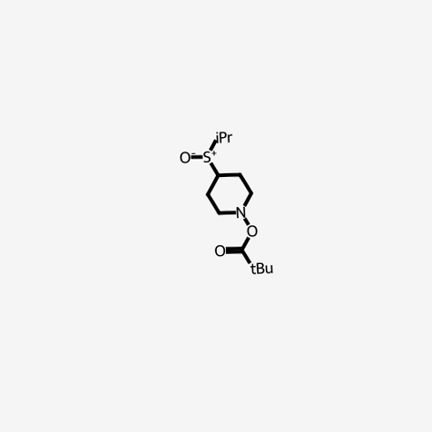 CC(C)[S+]([O-])C1CCN(OC(=O)C(C)(C)C)CC1